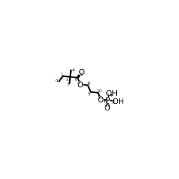 CCC(C)(C)C(=O)OCCCOP(=O)(O)O